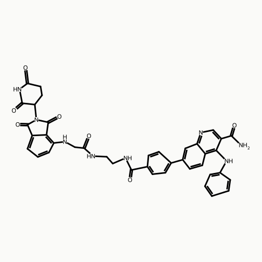 NC(=O)c1cnc2cc(-c3ccc(C(=O)NCCNC(=O)CNc4cccc5c4C(=O)N(C4CCC(=O)NC4=O)C5=O)cc3)ccc2c1Nc1ccccc1